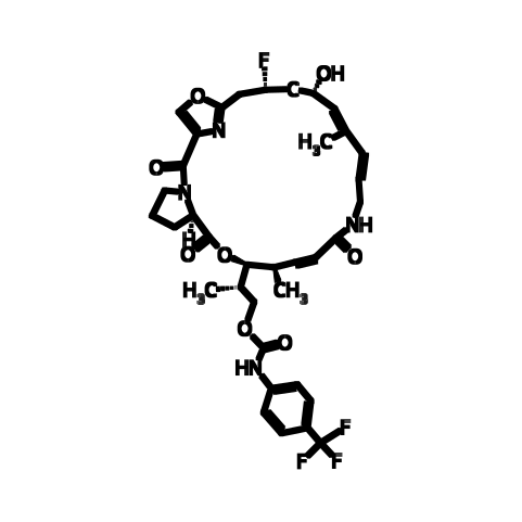 CC1=C\[C@@H](O)C[C@@H](F)Cc2nc(co2)C(=O)N2CCC[C@@H]2C(=O)O[C@H]([C@@H](C)COC(=O)Nc2ccc(C(F)(F)F)cc2)[C@H](C)/C=C/C(=O)NC\C=C\1